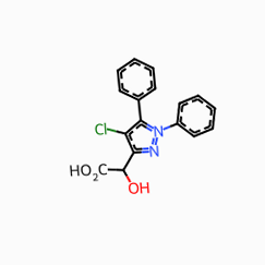 O=C(O)C(O)c1nn(-c2ccccc2)c(-c2ccccc2)c1Cl